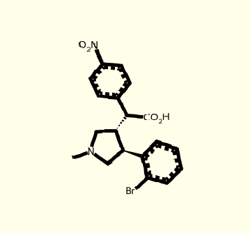 CN1C[C@H](c2ccccc2Br)[C@@H](C(C(=O)O)c2ccc([N+](=O)[O-])cc2)C1